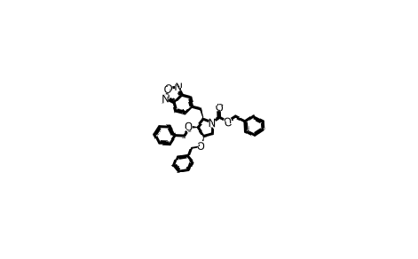 O=C(OCc1ccccc1)N1C[C@H](OCc2ccccc2)[C@@H](OCc2ccccc2)[C@H]1Cc1ccc2nonc2c1